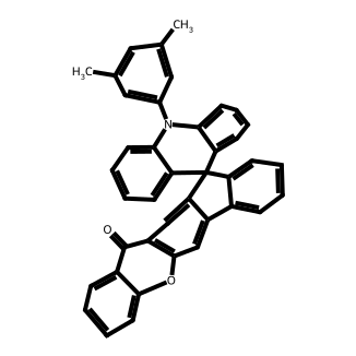 Cc1cc(C)cc(N2c3ccccc3C3(c4ccccc4-c4cc5oc6ccccc6c(=O)c5cc43)c3ccccc32)c1